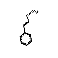 O=C(O)OC=Cc1ccccc1